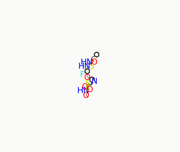 COCNS(=O)(=O)c1cc2nccc(Oc3ccc(NC(=S)NC(=O)Cc4ccccc4)cc3F)c2s1